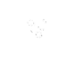 CN(C)C(C)(C)C(=O)N1Cc2ccccc2C#Cc2ccccc21